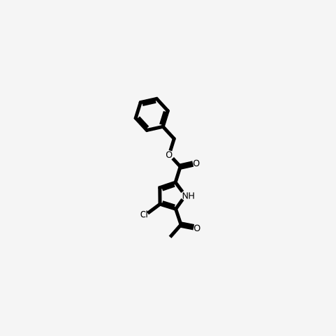 CC(=O)c1[nH]c(C(=O)OCc2ccccc2)cc1Cl